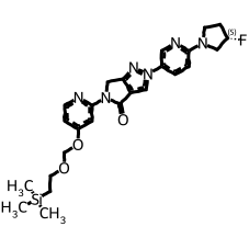 C[Si](C)(C)CCOCOc1ccnc(N2Cc3nn(-c4ccc(N5CC[C@H](F)C5)nc4)cc3C2=O)c1